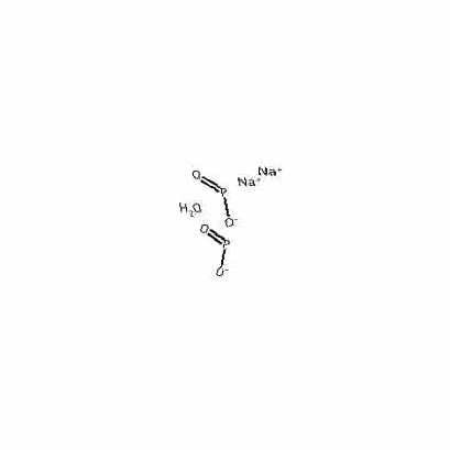 O.O=P[O-].O=P[O-].[Na+].[Na+]